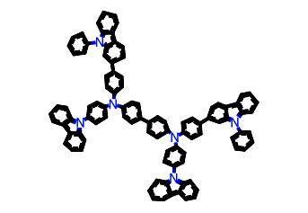 c1ccc(-n2c3ccccc3c3ccc(-c4ccc(N(c5ccc(-c6ccc(N(c7ccc(-c8ccc9c%10ccccc%10n(-c%10ccccc%10)c9c8)cc7)c7ccc(-n8c9ccccc9c9ccccc98)cc7)cc6)cc5)c5ccc(-n6c7ccccc7c7ccccc76)cc5)cc4)cc32)cc1